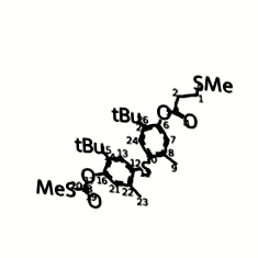 CSCCC(=O)Oc1cc(C)c(Sc2cc(C(C)(C)C)c(OC(=O)SC)cc2C)cc1C(C)(C)C